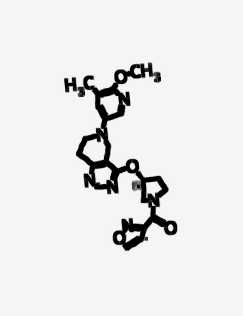 COc1ncc(N2CCc3ncnc(O[C@H]4CCN(C(=O)c5[c]con5)C4)c3C2)cc1C